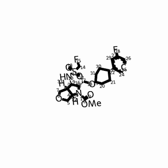 COC(=O)N1[C@@H]2COC[C@@H]2[C@H](NS(=O)(=O)CF)[C@@H]1CO[C@H]1CC[C@@H](c2cccc(F)c2)CC1